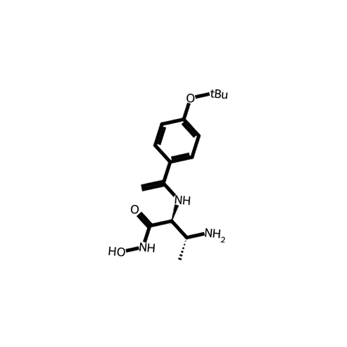 C=C(N[C@H](C(=O)NO)[C@@H](C)N)c1ccc(OC(C)(C)C)cc1